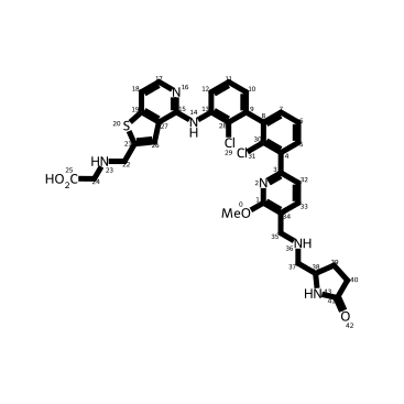 COc1nc(-c2cccc(-c3cccc(Nc4nccc5sc(CNCC(=O)O)cc45)c3Cl)c2Cl)ccc1CNCC1CCC(=O)N1